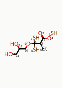 CCC(C(=O)OS)C(S)(S)OCC(O)CO